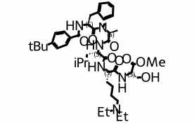 CCN(CC)CCCC[C@H](NC(=O)[C@H](CC(C)C)NC(=O)[C@H](C)N(C)C(=O)[C@H](Cc1ccccc1)NC(=O)c1ccc(C(C)(C)C)cc1)C(=O)N[C@@H](CO)C(=O)OC